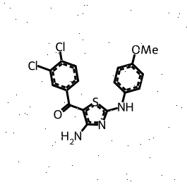 COc1ccc(Nc2nc(N)c(C(=O)c3ccc(Cl)c(Cl)c3)s2)cc1